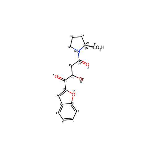 O=C(c1cc2ccccc2o1)C(Br)CC(=O)N1CCC[C@H]1C(=O)O